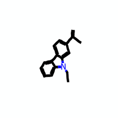 C=C(C)c1ccc2c3ccccc3n(CC)c2c1